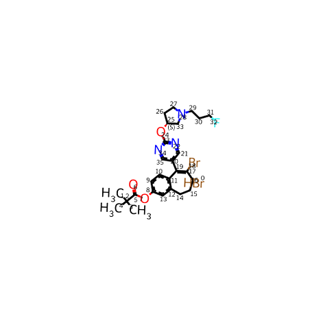 Br.CC(C)(C)C(=O)Oc1ccc2c(c1)CCCC(Br)=C2c1cnc(O[C@H]2CCN(CCCF)C2)nc1